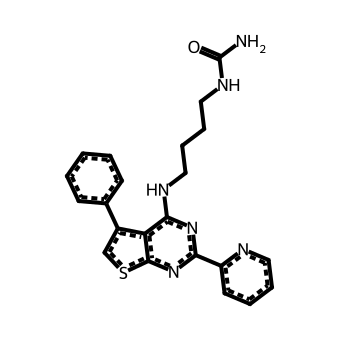 NC(=O)NCCCCNc1nc(-c2ccccn2)nc2scc(-c3ccccc3)c12